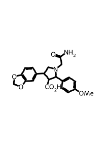 COc1ccc(C2C(C(=O)O)C(c3ccc4c(c3)OCO4)CN2CC(N)=O)cc1